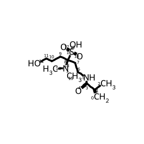 C=C(C)C(=O)NCCC(CCCO)(N(C)C)S(=O)(=O)O